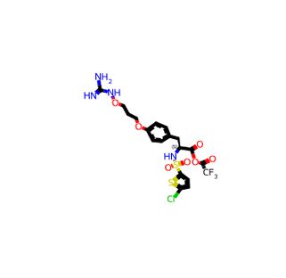 N=C(N)NOCCCOc1ccc(C[C@H](NS(=O)(=O)c2ccc(Cl)s2)C(=O)OC(=O)C(F)(F)F)cc1